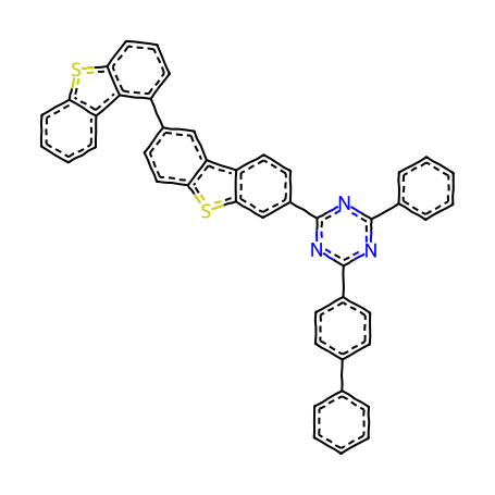 c1ccc(-c2ccc(-c3nc(-c4ccccc4)nc(-c4ccc5c(c4)sc4ccc(-c6cccc7sc8ccccc8c67)cc45)n3)cc2)cc1